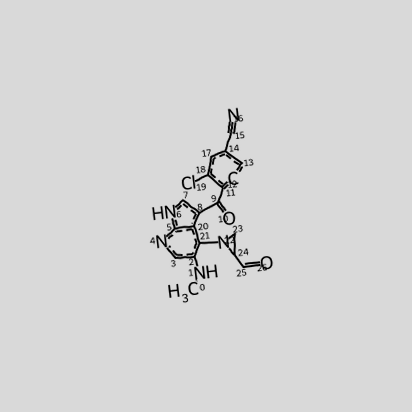 CNc1cnc2[nH]cc(C(=O)c3ccc(C#N)cc3Cl)c2c1N1CC1C=O